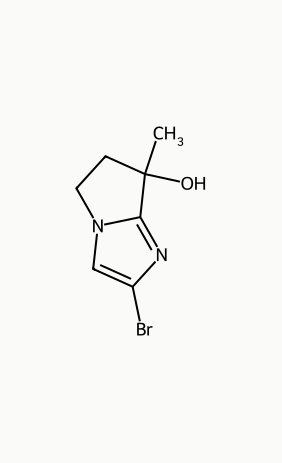 CC1(O)CCn2cc(Br)nc21